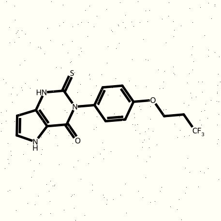 O=c1c2[nH]ccc2[nH]c(=S)n1-c1ccc(OCCC(F)(F)F)cc1